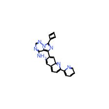 Nc1ncnn2c(C3=CC=C3)nc(-c3ccc4ccc(-c5ccccn5)nc4c3)c12